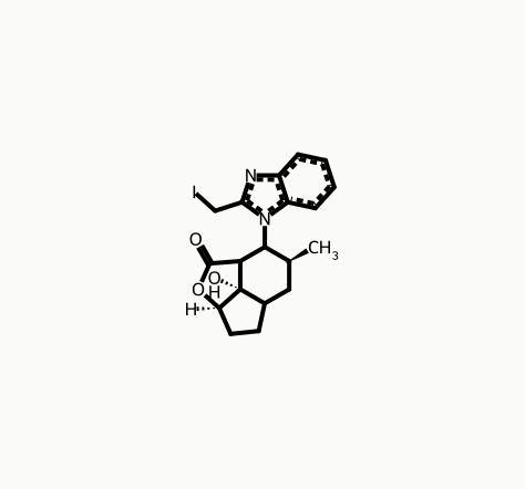 C[C@H]1CC2CC[C@H]3OC(=O)C(C1n1c(CI)nc4ccccc41)[C@@]23O